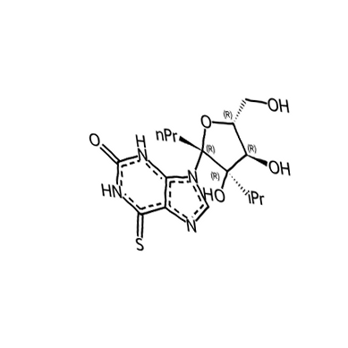 CCC[C@@]1(n2cnc3c(=S)[nH]c(=O)[nH]c32)O[C@H](CO)[C@@H](O)[C@]1(O)C(C)C